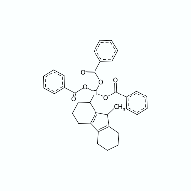 CC1C2=C(CCCC2)C2=C1[CH]([Ti]([O]C(=O)c1ccccc1)([O]C(=O)c1ccccc1)[O]C(=O)c1ccccc1)CCC2